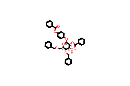 O=C(Oc1ccc(O[C@@H]2O[C@H](COCc3ccccc3)[C@H](OCc3ccccc3)[C@H](O)[C@H]2OC(=O)c2ccccc2)cc1)c1ccccc1